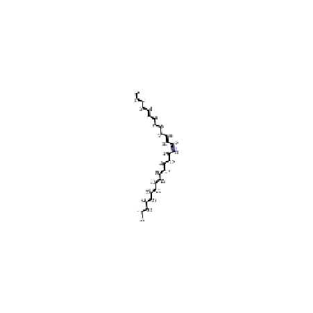 CCCCCCCCCCCC/[C]=C\CCCCCCCCCCCCCC